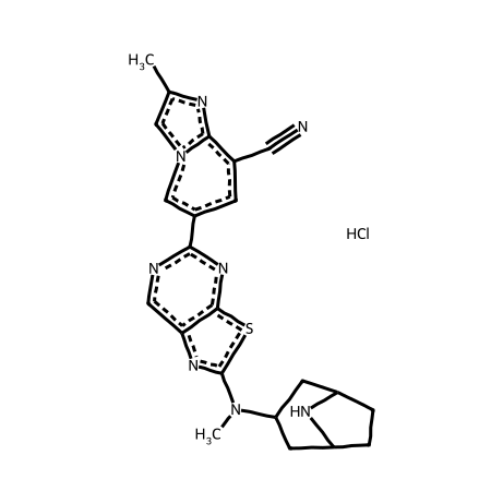 Cc1cn2cc(-c3ncc4nc(N(C)C5CC6CCC(C5)N6)sc4n3)cc(C#N)c2n1.Cl